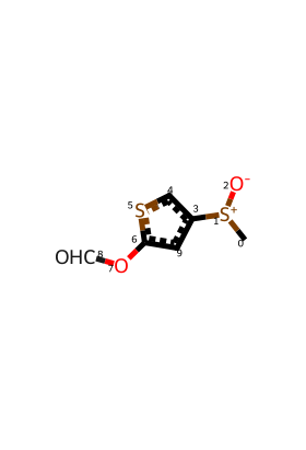 C[S+]([O-])c1csc(OC=O)c1